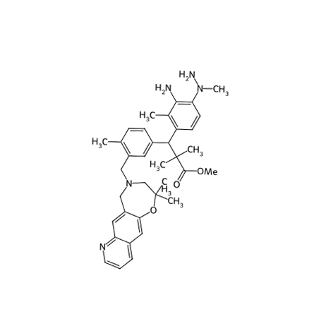 COC(=O)C(C)(C)C(c1ccc(C)c(CN2Cc3cc4ncccc4cc3OC(C)(C)C2)c1)c1ccc(N(C)N)c(N)c1C